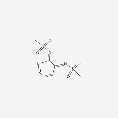 CS(=O)(=O)N=C1C=CC=NC1=NS(C)(=O)=O